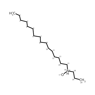 CCCCCCCCCCCCCCCC[NH+]([O-])CCC